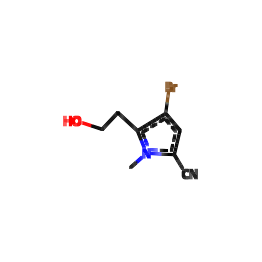 Cn1c(C#N)cc(Br)c1CCO